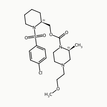 COCCN1CCN(C(=O)OC[C@@H]2CCCCN2S(=O)(=O)c2ccc(Cl)cc2)[C@@H](C)C1